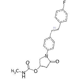 CNC(=O)OC1CC(=O)N(c2ccc(/C=C/c3ccc(F)cc3)cc2)C1